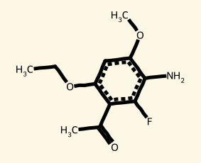 CCOc1cc(OC)c(N)c(F)c1C(C)=O